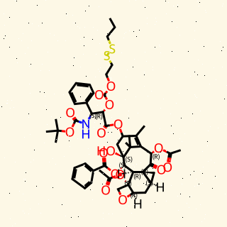 CCCSSCCOC(=O)O[C@@H](C(=O)OC1C[C@@]2(O)[C@@H](OC(=O)c3ccccc3)[C@@H]3[C@]4(OC(C)=O)CO[C@@H]4C[C@@H]4C[C@@]43C(=O)[C@H](OC(C)=O)C(=C1C)C2(C)C)[C@@H](NC(=O)OC(C)(C)C)c1ccccc1